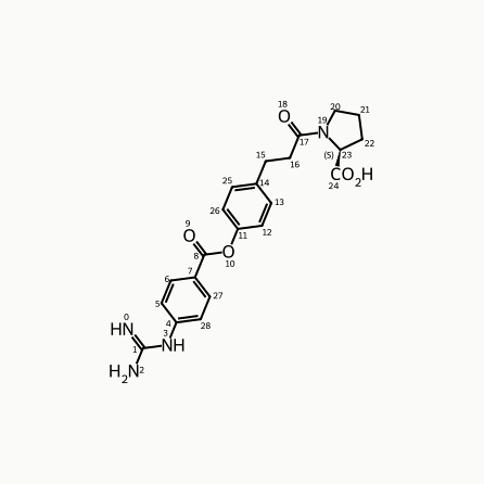 N=C(N)Nc1ccc(C(=O)Oc2ccc(CCC(=O)N3CCC[C@H]3C(=O)O)cc2)cc1